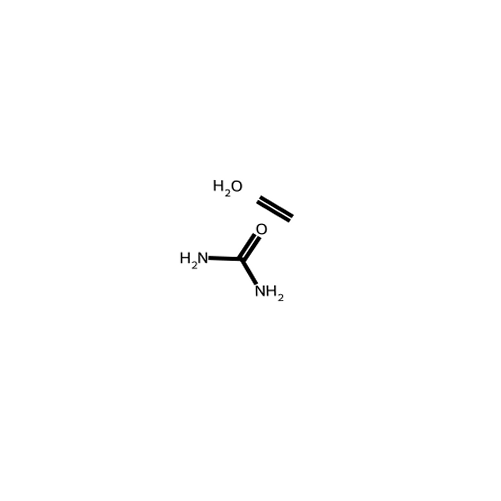 C=C.NC(N)=O.O